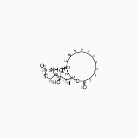 O=C1CCCCCCCCCC[C@@H]2C[C@H](C[C@](O)(C3CSC(=O)N3)O2)O1